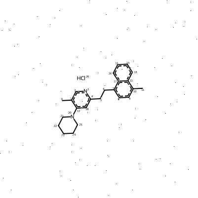 Cc1cnc(CCc2ccc(C)c3ccccc23)cc1N1CCCCC1.Cl